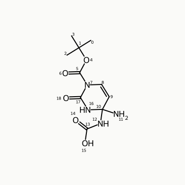 CC(C)(C)OC(=O)N1C=CC(N)(NC(=O)O)NC1=O